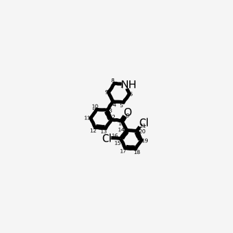 O=C(C1=C(C2CCNCC2)[CH]CC=C1)c1c(Cl)cccc1Cl